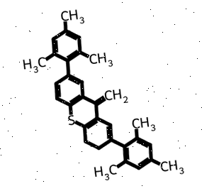 C=C1C2=C(CCC(c3c(C)cc(C)cc3C)=C2)Sc2ccc(-c3c(C)cc(C)cc3C)cc21